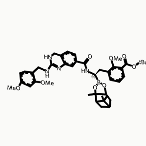 COc1ccc(CNC2=Nc3cc(C(=O)N[C@@H](Cc4cccc(C(=O)OC(C)(C)C)c4OC)B4OC5CC6CC(C6(C)C)C5(C)O4)ccc3CN2)c(OC)c1